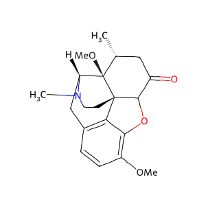 COc1ccc2c3c1OC1C(=O)C[C@@H](C)[C@@]4(OC)[C@@H](C2)N(C)CC[C@]314